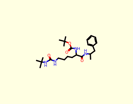 CC(Cc1ccccc1)NC(=O)C(CCCCNC(=O)NC(C)(C)C)NC(=O)OC(C)(C)C